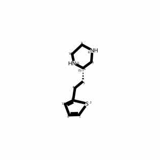 c1csc(CC[C@H]2CNCCN2)c1